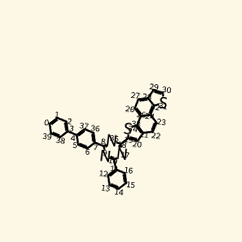 c1ccc(-c2ccc(-c3nc(-c4ccccc4)nc(-c4cc5ccc6c(ccc7ccsc76)c5s4)n3)cc2)cc1